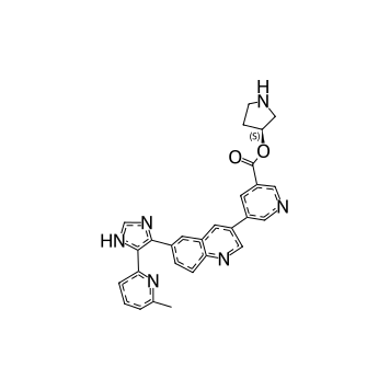 Cc1cccc(-c2[nH]cnc2-c2ccc3ncc(-c4cncc(C(=O)O[C@H]5CCNC5)c4)cc3c2)n1